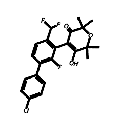 CC1(C)OC(C)(C)C(O)=C(c2c(C(F)F)ccc(-c3ccc(Cl)cc3)c2F)C1=O